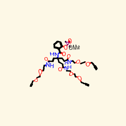 C#CCOCCOCCNC(=O)CCC(CCC(=O)NCCOCCOCC#C)(CCC(=O)NCCOCCOCC#C)NC(=O)c1ccccc1OP(C)(=O)OC